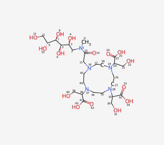 CN(C[C@H](O)[C@@H](O)[C@H](O)[C@H](O)CO)C(=O)CN1CCN(C(CO)C(=O)O)CCN(C(CO)C(=O)O)CCN(C(CO)C(=O)O)CC1